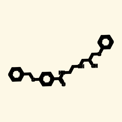 O=C(NCCNCC(O)COc1ccccc1)c1ccc(OCc2ccccc2)cc1